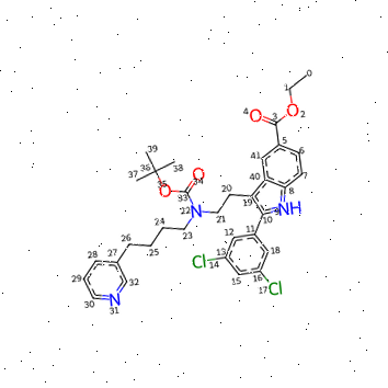 CCOC(=O)c1ccc2[nH]c(-c3cc(Cl)cc(Cl)c3)c(CCN(CCCCc3cccnc3)C(=O)OC(C)(C)C)c2c1